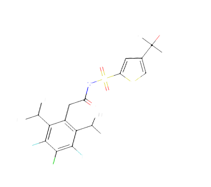 CC(C)c1c(F)c(Cl)c(F)c(C(C)C)c1CC(=O)NS(=O)(=O)c1cc(C(C)(C)O)cs1